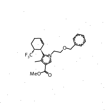 COC(=O)c1cn(CCOCc2ccccc2)c([C@@H]2C=CCC[C@@H]2C(F)(F)F)c1C